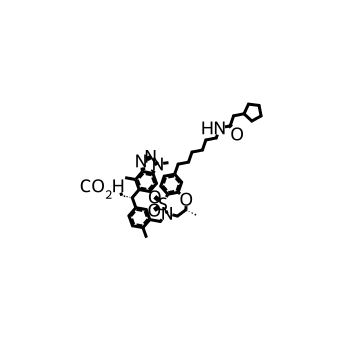 Cc1ccc([C@H](CC(=O)O)c2ccc3c(nnn3C)c2C)cc1CN1C[C@@H](C)Oc2cc(CCCCCCNC(=O)CC3CCCC3)ccc2S1(=O)=O